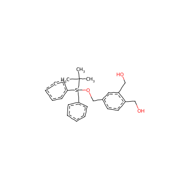 CC(C)(C)[Si](OCc1ccc(CO)c(CO)c1)(c1ccccc1)c1ccccc1